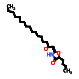 CCCCCCCCCCCCCCCC(=O)/C=C1\NC(=O)C(CCCC)O1